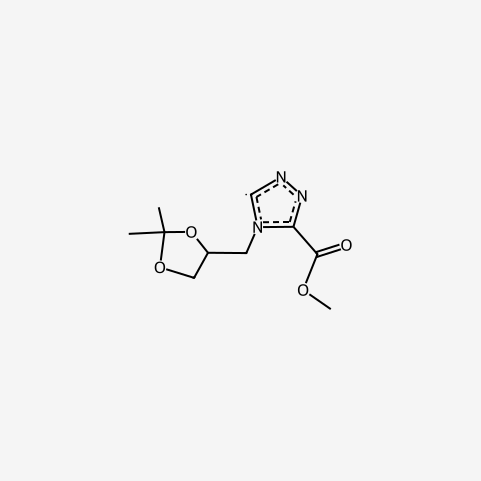 COC(=O)c1nn[c]n1CC1COC(C)(C)O1